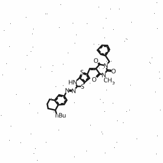 CCCCC1CCCc2cc(/N=N/C3Nc4sc(/C=C5\C(=O)N(C)C(=O)N(Cc6ccccc6)C5=O)cc4S3)ccc21